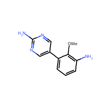 COc1c(N)cccc1-c1cnc(N)nc1